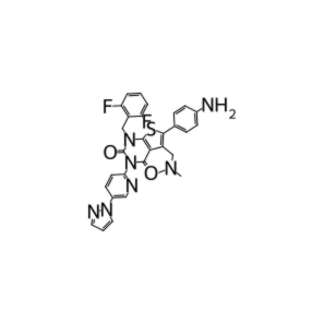 CN(C)Cc1c(-c2ccc(N)cc2)sc2c1c(=O)n(-c1ccc(-n3cccn3)cn1)c(=O)n2Cc1c(F)cccc1F